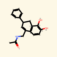 CC(=O)NCC1=CC(c2ccccc2)Cc2c1ccc(O)c2O